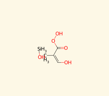 CC(=CO)C(=O)OO.O[SiH3]